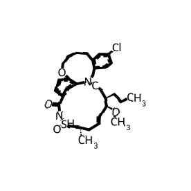 CCC[C@@H]1CCN2Cc3ccc(Cl)cc3CCCCOc3ccc(cc32)C(=O)/N=[SH](=O)\C[C@@H](C)C/C=C/[C@@H]1OC